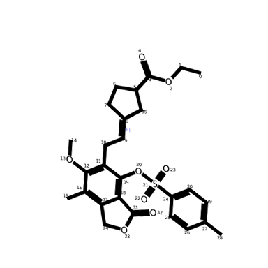 CCOC(=O)C1CC/C(=C\Cc2c(OC)c(C)c3c(c2OS(=O)(=O)c2ccc(C)cc2)C(=O)OC3)C1